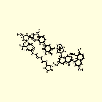 C#Cc1c(F)ccc2cc(O)cc(-c3ncc4c(N5CC6CCC(C5)N6)nc(OC[C@@H]5CCCN5CCCOCCC(=O)N[C@H](C(=O)N5C[C@H](O)C[C@H]5C(=O)N[C@@H](C)c5ccc(-c6cc(F)c(F)c(F)c6)cc5)C(C)(C)C)nc4c3F)c12